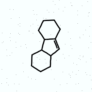 C1=C2CCCCC2C2CCCCC12